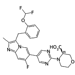 Cc1nc2cc(F)c(-c3cnc(N4CCOC[C@@H]4C(=O)O)nc3)cn2c1Cc1ccccc1OC(F)F